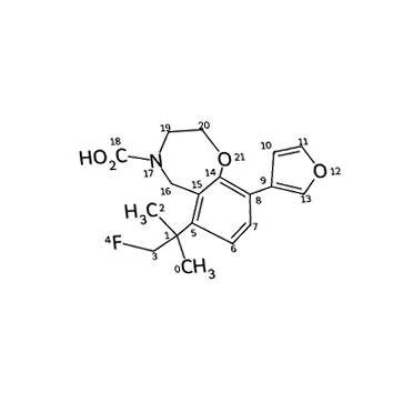 CC(C)(CF)c1ccc(-c2ccoc2)c2c1CN(C(=O)O)CCO2